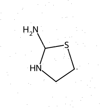 NC1NC[CH]S1